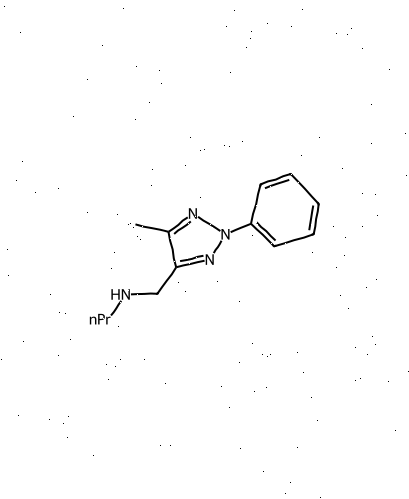 CCCNCc1nn(-c2ccccc2)nc1C